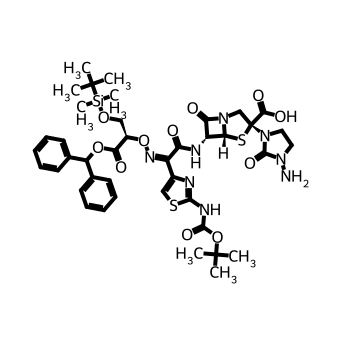 CC(C)(C)OC(=O)Nc1nc(/C(=N/O[C@H](CO[Si](C)(C)C(C)(C)C)C(=O)OC(c2ccccc2)c2ccccc2)C(=O)N[C@@H]2C(=O)N3C[C@@](C(=O)O)(N4CCN(N)C4=O)S[C@H]23)cs1